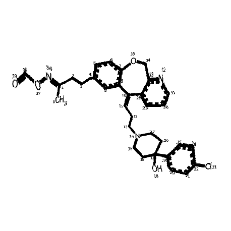 C/C(CCc1ccc2c(c1)/C(=C/CCN1CCC(O)(c3ccc(Cl)cc3)CC1)c1cccnc1CO2)=N\OC=O